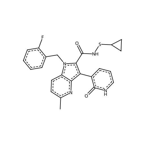 Cc1ccc2c(n1)c(-c1ccc[nH]c1=O)c(C(=O)NSC1CC1)n2Cc1ccccc1F